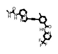 CNC(=O)Nc1cccn2c(C#Cc3cc(C(=O)Nc4cc(C(F)(F)F)ccn4)ccc3C)cnc12